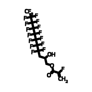 C=C(F)C(=O)OCC(O)CC(F)(F)C(F)(F)C(F)(F)C(F)(F)C(F)(F)C(F)(F)C(F)(F)C(F)(F)F